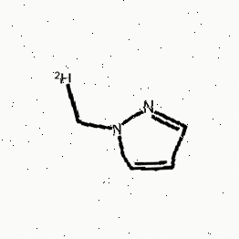 [2H]Cn1cccn1